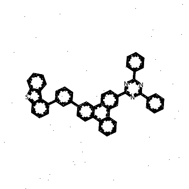 c1ccc(-c2nc(-c3ccccc3)nc(-c3ccc4c5cc(-c6cccc(-c7cccc8sc9ccccc9c78)c6)ccc5c5ccccc5c4c3)n2)cc1